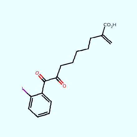 C=C(CCCCCC(=O)C(=O)c1ccccc1I)C(=O)O